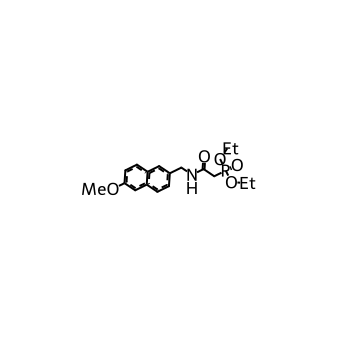 CCOP(=O)(CC(=O)NCc1ccc2cc(OC)ccc2c1)OCC